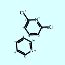 Clc1cccc(Cl)n1.c1ccncc1